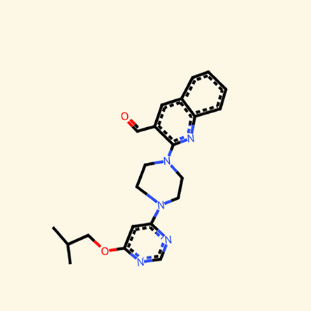 CC(C)COc1cc(N2CCN(c3nc4ccccc4cc3C=O)CC2)ncn1